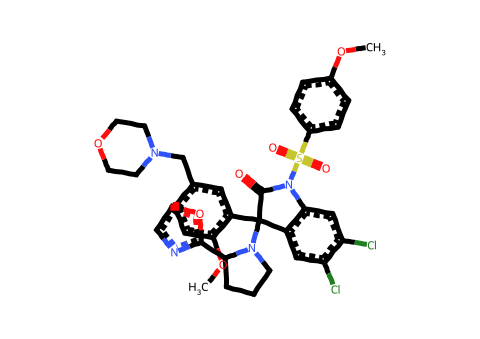 COc1ccc(S(=O)(=O)N2C(=O)C(c3cc(CN4CCOCC4)ccc3OC)(N3CCCC3c3ncco3)c3cc(Cl)c(Cl)cc32)cc1